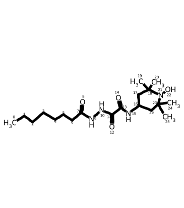 CCCCCCCC(=O)NNC(=O)C(=O)NC1CC(C)(C)N(O)C(C)(C)C1